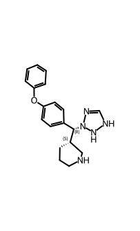 C1=NN([C@@H](c2ccc(Oc3ccccc3)cc2)[C@H]2CCCNC2)NN1